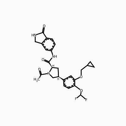 CC(=O)N1C[C@H](c2ccc(OC(F)F)c(OCC3CC3)c2)C[C@@H]1C(=O)Nc1ccc2c(c1)CNC2=O